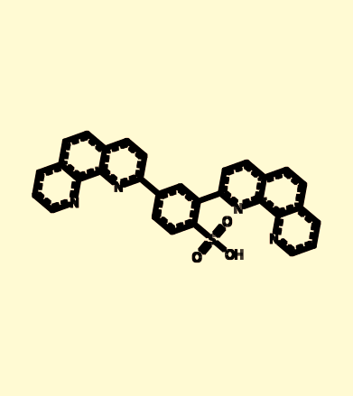 O=S(=O)(O)c1ccc(-c2ccc3ccc4cccnc4c3n2)cc1-c1ccc2ccc3cccnc3c2n1